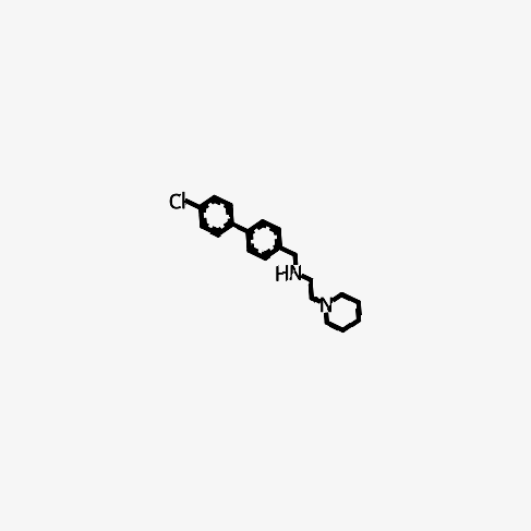 Clc1ccc(-c2ccc(CNCCN3CCCCC3)cc2)cc1